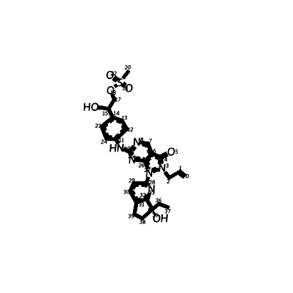 C=CCn1c(=O)c2cnc(Nc3ccc(C(O)COS(C)(=O)=O)cc3)nc2n1-c1ccc2c(n1)[C@@](O)(CC)CC2